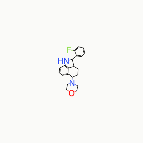 Fc1ccccc1C1Nc2cccc3c2C1CCC3N1CCOCC1